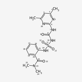 Cc1cc(C)nc(NC(=O)NS(=O)(=O)Nc2ccccc2C(=O)N(C)C)n1